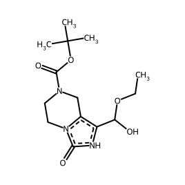 CCOC(O)c1[nH]c(=O)n2c1CN(C(=O)OC(C)(C)C)CC2